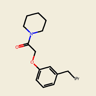 CC(C)Cc1cccc(OCC(=O)N2CCCCC2)c1